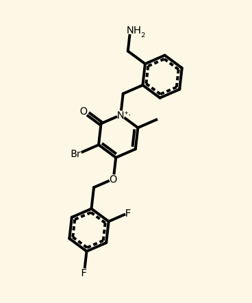 CC1=CC(OCc2ccc(F)cc2F)=C(Br)C(=O)[N+]1Cc1ccccc1CN